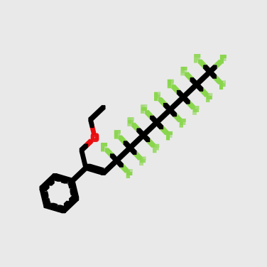 CCOCC(=CC(F)(F)C(F)(F)C(F)(F)C(F)(F)C(F)(F)C(F)(F)C(F)(F)C(F)(F)F)c1ccccc1